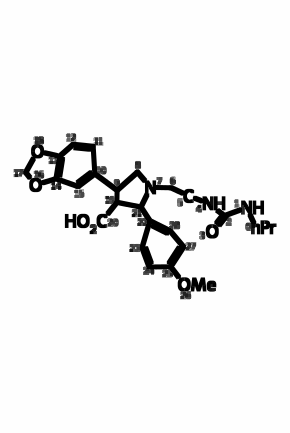 CCCNC(=O)NCCN1CC(c2ccc3c(c2)OCO3)C(C(=O)O)C1c1ccc(OC)cc1